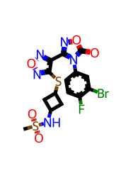 CS(=O)(=O)NC1CC(Sc2nonc2-c2noc(=O)n2-c2ccc(F)c(Br)c2)C1